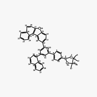 CC1(C)OB(c2ccc(-c3nc(-c4ccc5oc6ccc7ccccc7c6c5c4)cc(-c4cccc5ccccc45)n3)cc2)OC1(C)C